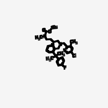 Cc1cc(Cl)cnc1CN(CCCCN(C)C(=O)OC(C)(C)C)Cc1ncccc1C(C)(C)c1ccc(F)cc1